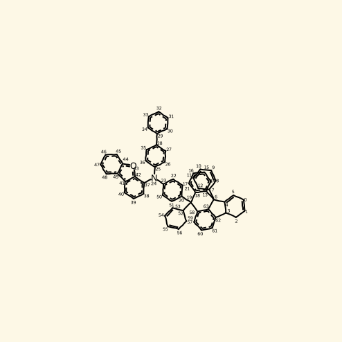 C1=CCC2C(=C1)C1(C3C=CC=CC3)c3ccccc3C(c3ccc(N(c4ccc(-c5ccccc5)cc4)c4cccc5c4oc4ccccc45)cc3)(C3C=CC=CC3)c3cccc2c31